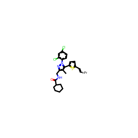 CCCC=Cc1ccc(-c2c(C)c(CNC(=O)C3CCCCC3)nn2-c2ccc(Cl)cc2Cl)s1